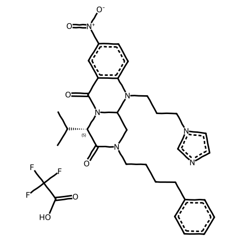 CC(C)[C@H]1C(=O)N(CCCCc2ccccc2)CC2N(CCCn3ccnc3)c3ccc([N+](=O)[O-])cc3C(=O)N21.O=C(O)C(F)(F)F